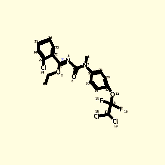 CCO/C(=N\C(=O)N(C)c1ccc(OC(F)(F)C(Cl)Cl)cc1)c1ccccc1Cl